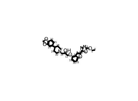 CCOc1nnc(-c2cc3c(OC[C@@H](O)CN4CCC(c5ccc6c(c5)OCO6)CC4)cccc3o2)o1